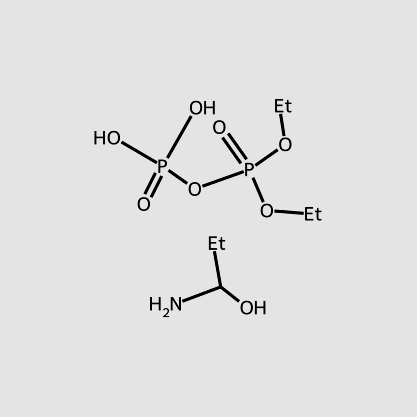 CCC(N)O.CCOP(=O)(OCC)OP(=O)(O)O